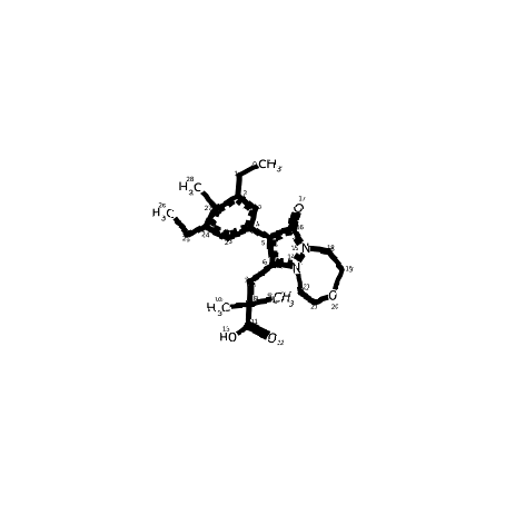 CCc1cc(-c2c(CC(C)(C)C(=O)O)n3n(c2=O)CCOCC3)cc(CC)c1C